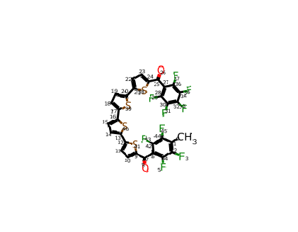 Cc1c(F)c(F)c(C(=O)c2ccc(-c3ccc(-c4ccc(-c5ccc(C(=O)c6c(F)c(F)c(F)c(F)c6F)s5)s4)s3)s2)c(F)c1F